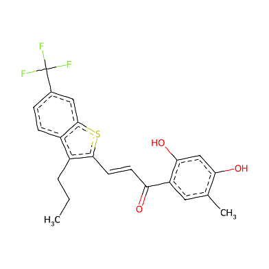 CCCc1c(C=CC(=O)c2cc(C)c(O)cc2O)sc2cc(C(F)(F)F)ccc12